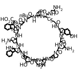 CCCC[C@H]1C(=O)N(C)[C@@H](CCCC)C(=O)N[C@@H](CC(C)C)C(=O)N[C@H](C(=O)NCC(N)=O)CSCC(=O)N[C@@H](Cc2ccc(O)cc2)C(=O)N(C)[C@@H](C)C(=O)N[C@@H](CC(N)=O)C(=O)N2CCC[C@H]2C(=O)N[C@@H](CN)C(=O)N[C@@H](CC(C)C)C(=O)N2C[C@H](O)C[C@H]2C(=O)N[C@@H](Cc2c[nH]c3ccccc23)C(=O)N[C@@H](CCN)C(=O)N[C@@H](Cn2nc(CC(=O)O)c3ccccc32)C(=O)N1C